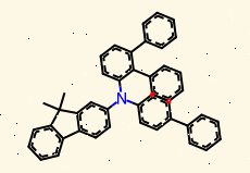 CC1(C)c2ccccc2-c2ccc(N(c3ccc(-c4ccccc4)cc3)c3cccc(-c4ccccc4)c3-c3ccccc3)cc21